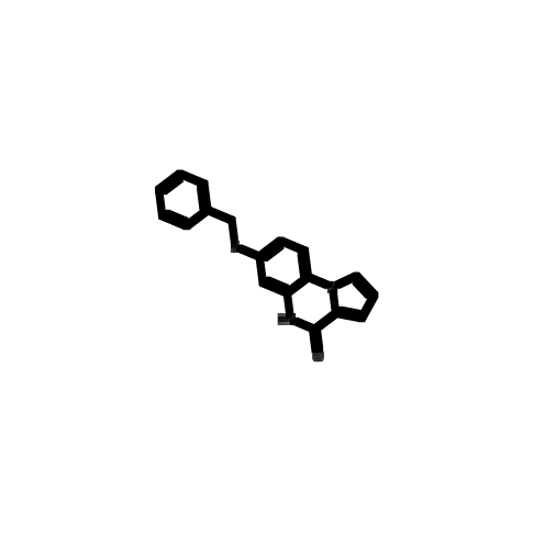 O=c1[nH]c2cc(SCc3ccccc3)ccc2n2cccc12